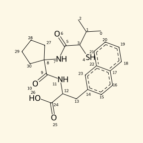 CC(C)C(S)C(=O)NC1(C(=O)NC(Cc2ccc3ccccc3c2)C(=O)O)CCCC1